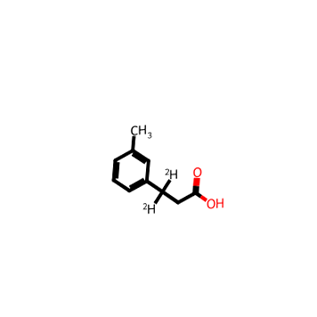 [2H]C([2H])(CC(=O)O)c1cccc(C)c1